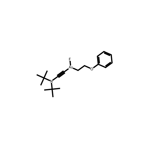 CC(C)(C)N(C#C[As](F)CCOc1ccccc1)C(C)(C)C